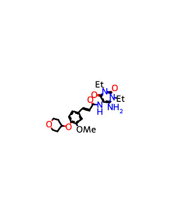 CCn1c(N)c(NC(=O)/C=C/c2ccc(OC3CCOCC3)c(OC)c2)c(=O)n(CC)c1=O